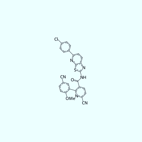 COc1ccc(C#N)cc1-c1nc(C#N)ccc1C(=O)Nc1nc2ccc(-c3ccc(Cl)cc3)nc2s1